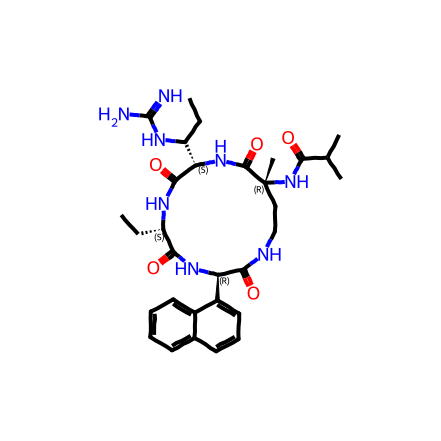 CCC(NC(=N)N)[C@@H]1NC(=O)[C@](C)(NC(=O)C(C)C)CCNC(=O)[C@@H](c2cccc3ccccc23)NC(=O)[C@H](CC)NC1=O